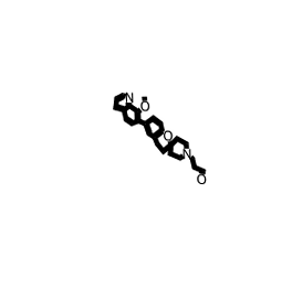 COc1c(-c2ccc3c(c2)CCC2(CCN(CCC=O)CC2)O3)ccc2cccnc12